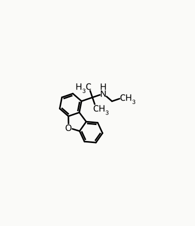 CCNC(C)(C)c1cccc2oc3ccccc3c12